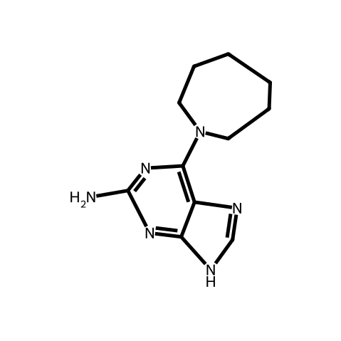 Nc1nc(N2CCCCCC2)c2nc[nH]c2n1